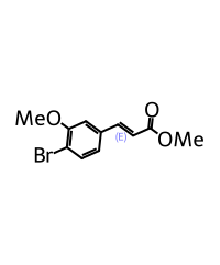 COC(=O)/C=C/c1ccc(Br)c(OC)c1